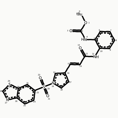 CC(C)(C)OC(=O)Nc1ccccc1NC(=O)C=Cc1ccn(S(=O)(=O)c2ccc3ncsc3c2)c1